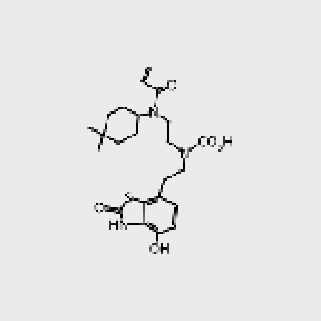 C=CC(=O)N(CCN(CCc1ccc(O)c2[nH]c(=O)sc12)C(=O)O)C1CCC(C)(C)CC1